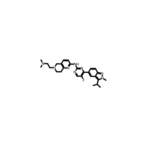 CC(C)c1c2cc(-c3nc(Nc4ccc5c(n4)CCN(CCN(C)C)C5)ncc3F)ccc2nn1C